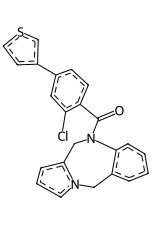 O=C(c1ccc(-c2ccsc2)cc1Cl)N1Cc2cccn2Cc2ccccc21